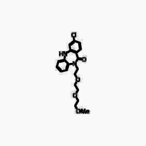 COCCOCCOCCN1C(=O)c2ccc(Cl)cc2Nc2ccccc21